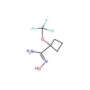 NC(=NO)C1(OC(F)(F)F)CCC1